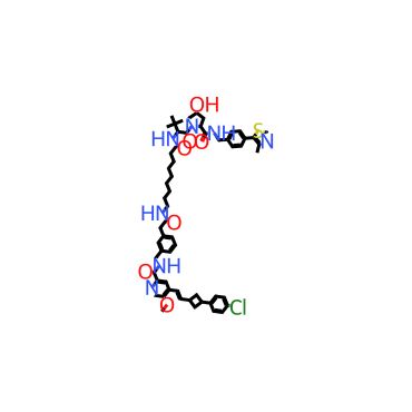 COc1cnc(C(=O)NCc2cccc(CC(=O)NCCCCCCCCC(=O)NC(C(=O)N3CC(O)CC3C(=O)NCc3ccc(-c4scnc4C)cc3)C(C)(C)C)c2)cc1C=CC1CC(c2ccc(Cl)cc2)C1